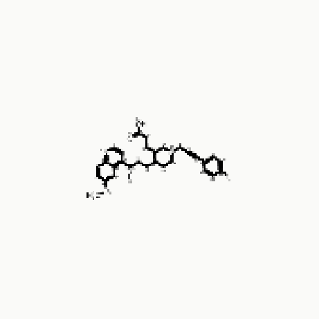 COc1ccc2nccc([C@@H](F)CCC3CCN(CC#Cc4ccc(F)cc4)CC3CCC(=O)O)c2c1